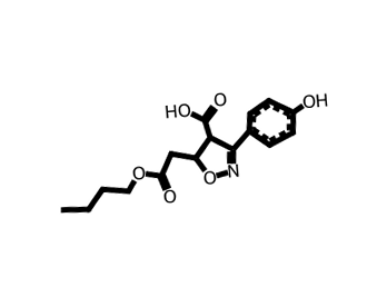 CCCCOC(=O)CC1ON=C(c2ccc(O)cc2)C1C(=O)O